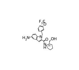 Nc1ccc2c(c1)cc(C(=O)NC1CCCC[C@@H]1CO)n2Cc1cccc(OC(F)(F)F)c1